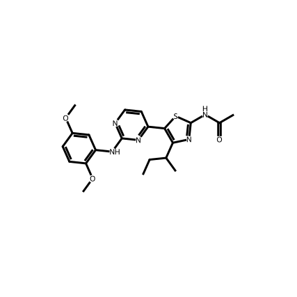 CCC(C)c1nc(NC(C)=O)sc1-c1ccnc(Nc2cc(OC)ccc2OC)n1